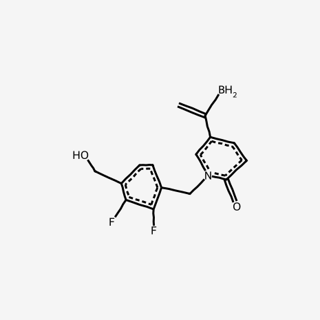 BC(=C)c1ccc(=O)n(Cc2ccc(CO)c(F)c2F)c1